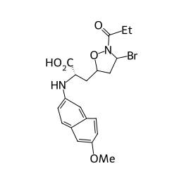 CCC(=O)N1OC(C[C@H](Nc2ccc3cc(OC)ccc3c2)C(=O)O)CC1Br